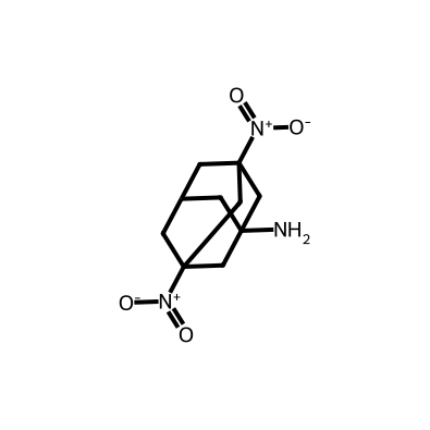 NC12CC3CC([N+](=O)[O-])(C1)CC([N+](=O)[O-])(C3)C2